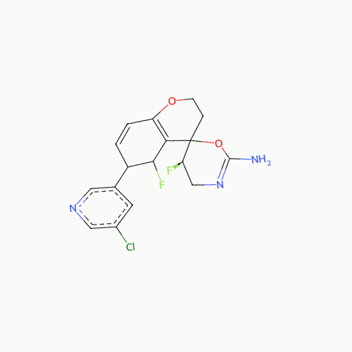 NC1=NC[C@@H](F)C2(CCOC3=C2C(F)C(c2cncc(Cl)c2)C=C3)O1